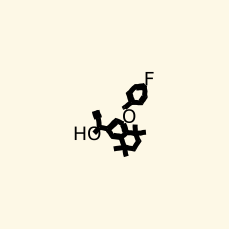 C#CC(O)c1cc(OCc2ccc(F)cc2)c2c(c1)C(C)(C)CCC2(C)C